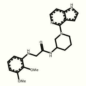 COc1cccc(NCC(=O)NC2CCCN(c3nccc4[nH]ccc34)C2)c1OC